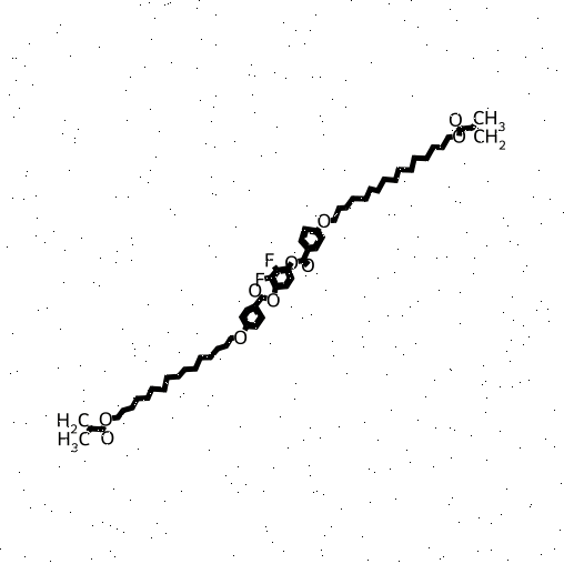 C=C(C)C(=O)OCCCCCCCCCCCCCCCCOc1ccc(C(=O)Oc2ccc(OC(=O)c3ccc(OCCCCCCCCCCCCCCCCOC(=O)C(=C)C)cc3)c(F)c2F)cc1